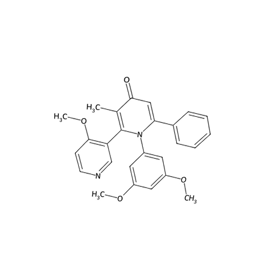 COc1cc(OC)cc(-n2c(-c3ccccc3)cc(=O)c(C)c2-c2cnccc2OC)c1